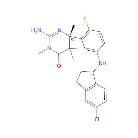 CN1C(=O)C(C)(C)[C@@](C)(c2cc(NC3CCc4cc(Cl)ccc43)ccc2F)N=C1N